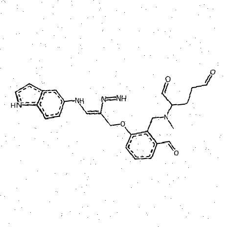 CN(Cc1c(C=O)cccc1OC/C(=C/Nc1ccc2[nH]ccc2c1)N=N)C(C=O)CCC=O